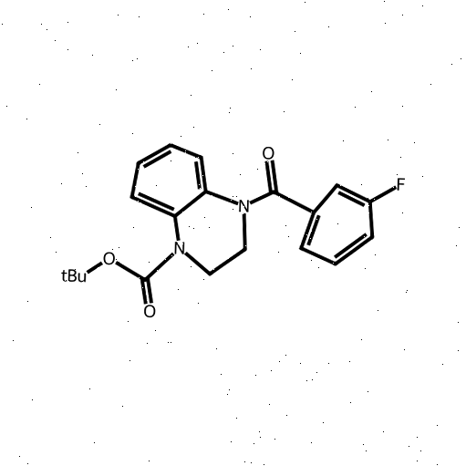 CC(C)(C)OC(=O)N1CCN(C(=O)c2cccc(F)c2)c2ccccc21